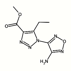 CCc1c(C(=O)OC)nnn1-c1nonc1N